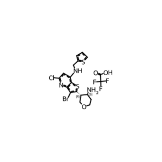 N[C@H]1CCOC[C@@H]1c1sc2c(NCc3cccs3)cc(Cl)nc2c1Br.O=C(O)C(F)(F)F